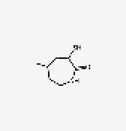 CC1CCNC(=O)C(S)C1